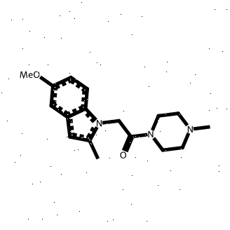 COc1ccc2c([c]c(C)n2CC(=O)N2CCN(C)CC2)c1